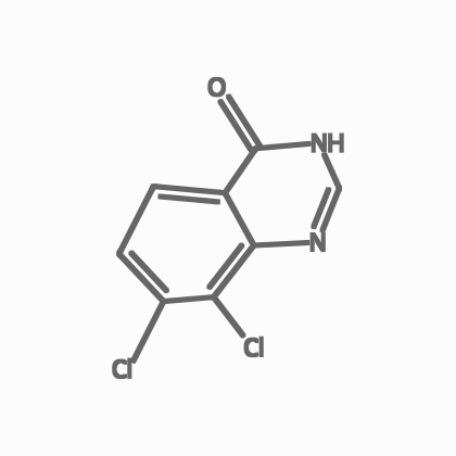 O=c1[nH]cnc2c(Cl)c(Cl)ccc12